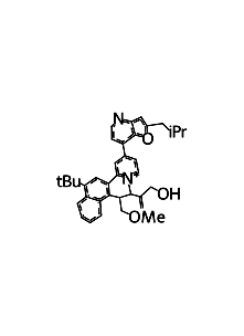 C=C(CO)C1C(COC)c2c(cc(C(C)(C)C)c3ccccc23)-c2cc(-c3ccnc4cc(CC(C)C)oc34)cc[n+]21